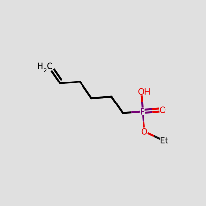 C=CCCCCP(=O)(O)OCC